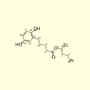 CCC(CCC(C)C)OC(=O)CCCCc1cc(O)ccc1O